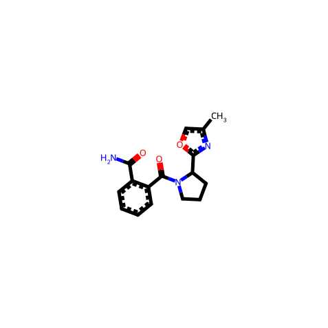 Cc1coc(C2CCCN2C(=O)c2ccccc2C(N)=O)n1